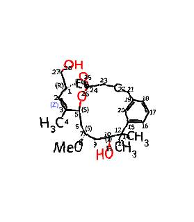 CC[C@H](/C=C(/C)[C@@H]1C[C@@H](OC)C[C@H](O)C(C)(C)c2cccc(c2)CCCC(=O)O1)CO